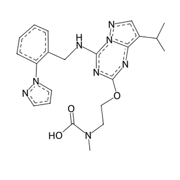 CC(C)c1cnn2c(NCc3ccccc3-n3cccn3)nc(OCCN(C)C(=O)O)nc12